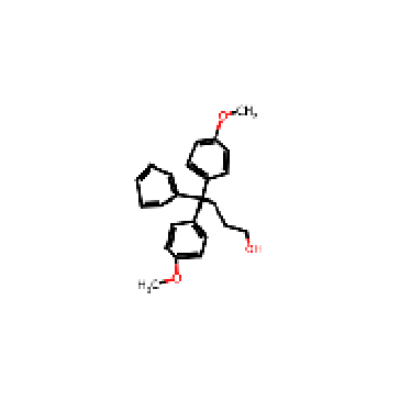 COc1ccc(C(CCCO)(c2ccccc2)c2ccc(OC)cc2)cc1